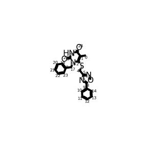 Cc1c(SCc2noc(-c3ccccc3)n2)n(Cc2ccccc2)c(=O)[nH]c1=O